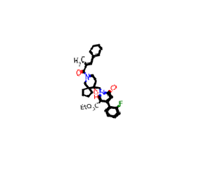 CCOC(=O)c1cn(CC2(O)CCN(C(=O)C(C)CC3CCCCC3)CC23CCCC3)c(=O)cc1-c1ccccc1F